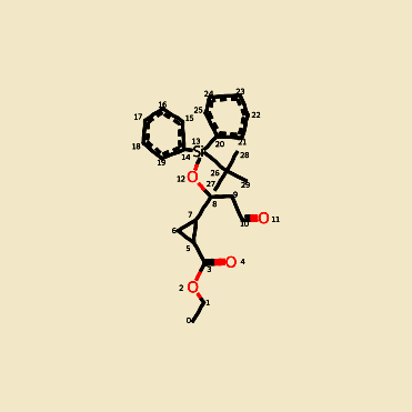 CCOC(=O)C1CC1C(CC=O)O[Si](c1ccccc1)(c1ccccc1)C(C)(C)C